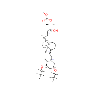 C=C1/C(=C\C=C2/CCC[C@]3(C)[C@@H]([C@H](C)/C=C/[C@@H](O)C(C)(C)OC(=O)OC)CC[C@@H]23)C[C@@H](O[Si](C)(C)C(C)(C)C)C[C@@H]1O[Si](C)(C)C(C)(C)C